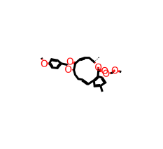 COCOc1cc(C)cc2c1C(=O)O[C@@H](C)C/C=C\C(=O)[C@@H](OCc1ccc(OC)cc1)CC/C=C/2